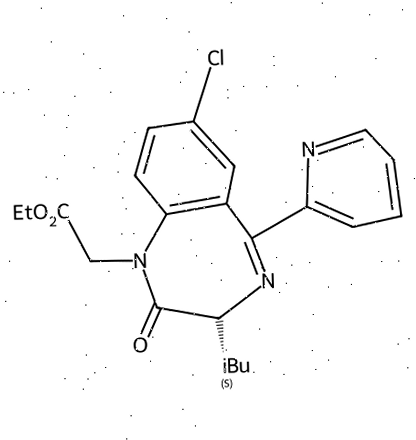 CCOC(=O)CN1C(=O)C([C@@H](C)CC)N=C(c2ccccn2)c2cc(Cl)ccc21